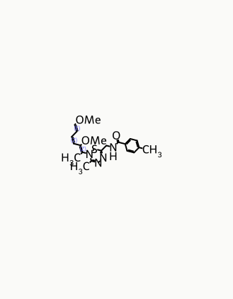 CO/C=C/C=C\C(OC)=C(/C)N1SC(CNC(=O)c2ccc(C)cc2)=NN=C1C